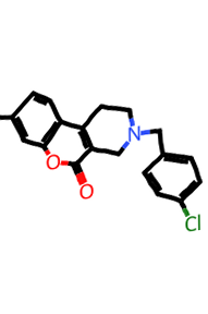 Cc1ccc2c3c(c(=O)oc2c1)CN(Cc1ccc(Cl)cc1)CC3